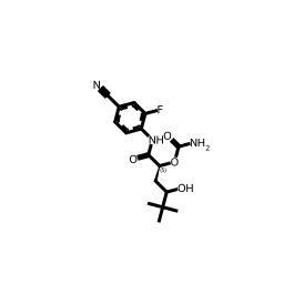 CC(C)(C)C(O)C[C@H](OC(N)=O)C(=O)Nc1ccc(C#N)cc1F